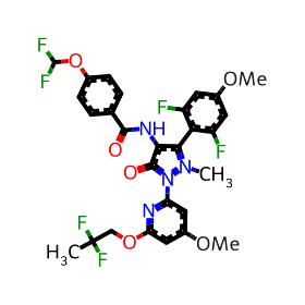 COc1cc(OCC(C)(F)F)nc(-n2c(=O)c(NC(=O)c3ccc(OC(F)F)cc3)c(-c3c(F)cc(OC)cc3F)n2C)c1